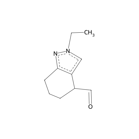 CCn1cc2c(n1)CCCC2C=O